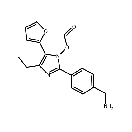 CCc1nc(-c2ccc(CN)cc2)n(OC=O)c1-c1ccco1